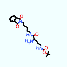 CC(C)(C)OC(=O)NCCCC(N)C(=O)NCCCCCN1C(=O)c2ccccc2C1=O